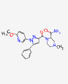 COc1ccc(-n2nc(C(=O)N3CCN(C)CC3C(N)=O)cc2-c2ccccc2)cn1